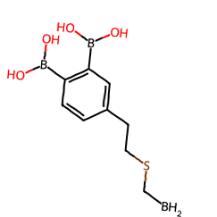 BCSCCc1ccc(B(O)O)c(B(O)O)c1